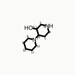 OC1CNCCC1N1CC[CH]CC1